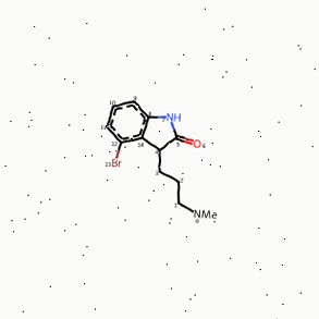 CNCCCC1C(=O)Nc2cccc(Br)c21